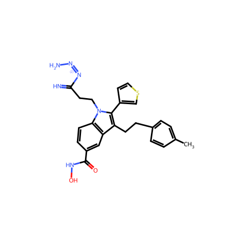 Cc1ccc(CCc2c(-c3ccsc3)n(CCC(=N)/N=N\N)c3ccc(C(=O)NO)cc23)cc1